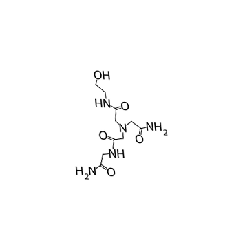 NC(=O)CNC(=O)CN(CC(N)=O)CC(=O)NCCO